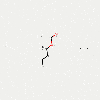 CCCCOCO.[Ti]